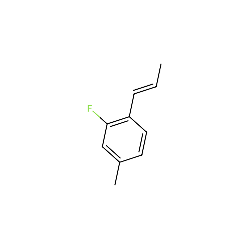 C/C=C/c1ccc(C)cc1F